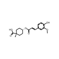 COc1cc(/C=C/C(=O)O[C@H]2CC[C@@](C)(C(=O)O)CC2)ccc1O